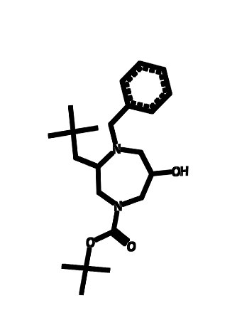 CC(C)(C)CC1CN(C(=O)OC(C)(C)C)CC(O)CN1Cc1ccccc1